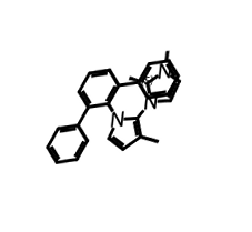 Cc1ccn(-c2c(-c3ccccc3)cccc2-c2ccccc2)c1N1C=CN(C)[C@@H]1C